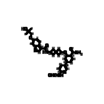 CC(C)(O)COc1ccc2c(C(=O)NC3CC4(C3)CC(Oc3cc(-c5ccc(NC=O)nc5)ccc3C(N)=O)C4)cnn2c1